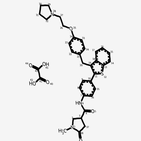 CN1CC(C(=O)Nc2ccc(-c3sc4ccccc4c3Cc3ccc(OCCN4CCCC4)cc3)cc2)CC1=O.O=C(O)C(=O)O